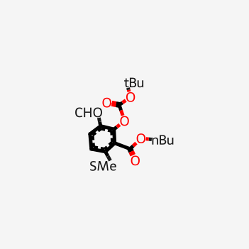 CCCCOC(=O)c1c(SC)ccc(C=O)c1OC(=O)OC(C)(C)C